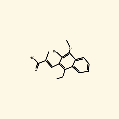 COc1c(Br)c(/C=C(\C)C(=O)O)c(OC)c2ccccc12